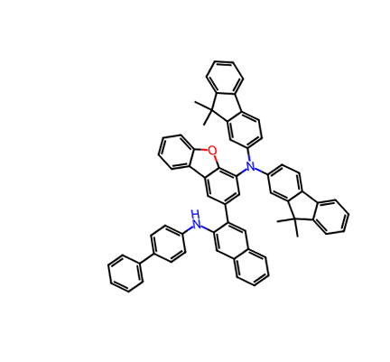 CC1(C)c2ccccc2-c2ccc(N(c3ccc4c(c3)C(C)(C)c3ccccc3-4)c3cc(-c4cc5ccccc5cc4Nc4ccc(-c5ccccc5)cc4)cc4c3oc3ccccc34)cc21